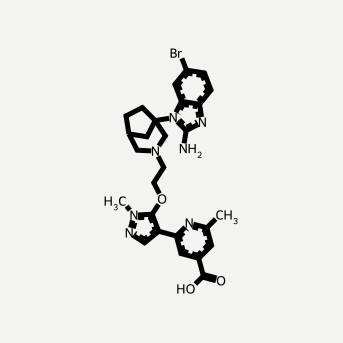 Cc1cc(C(=O)O)cc(-c2cnn(C)c2OCCN2CC3CCC(n4c(N)nc5ccc(Br)cc54)(C3)C2)n1